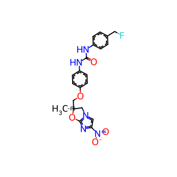 C[C@]1(COc2ccc(NC(=O)Nc3ccc(CF)cc3)cc2)Cn2cc([N+](=O)[O-])nc2O1